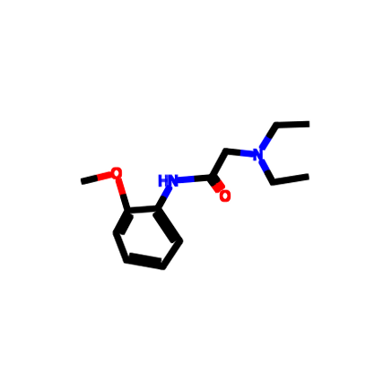 CCN(CC)CC(=O)Nc1ccccc1OC